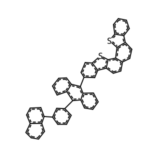 c1cc(-c2cccc3ccccc23)cc(-c2c3ccccc3c(-c3ccc4sc5c(ccc6ccc7c8ccccc8sc7c65)c4c3)c3ccccc23)c1